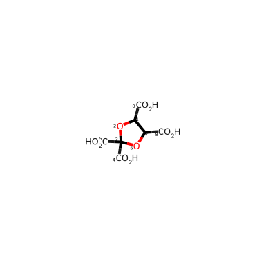 O=C(O)C1OC(C(=O)O)(C(=O)O)OC1C(=O)O